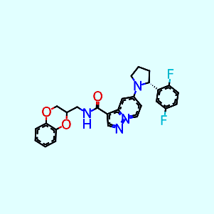 O=C(NCC1COc2ccccc2O1)c1cnn2ccc(N3CCC[C@@H]3c3cc(F)ccc3F)cc12